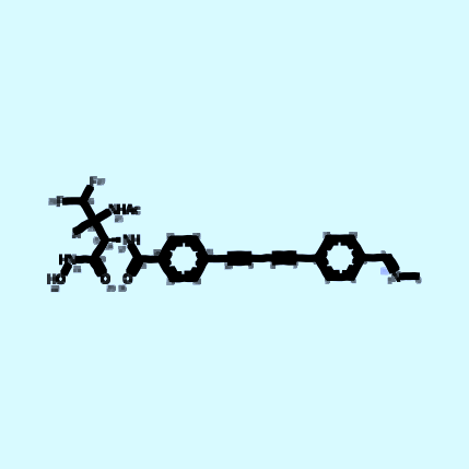 C/N=C/c1ccc(C#CC#Cc2ccc(C(=O)N[C@H](C(=O)NO)C(C)(NC(C)=O)C(F)F)cc2)cc1